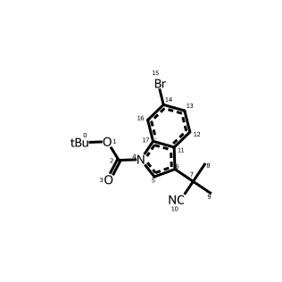 CC(C)(C)OC(=O)n1cc(C(C)(C)C#N)c2ccc(Br)cc21